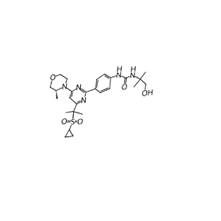 C[C@H]1COCCN1c1cc(C(C)(C)S(=O)(=O)C2CC2)nc(-c2ccc(NC(=O)NC(C)(C)CO)cc2)n1